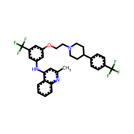 Cc1cc(Nc2cc(OCCN3CCC(c4ccc(C(F)(F)F)cc4)CC3)cc(C(F)(F)F)c2)c2ccccc2n1